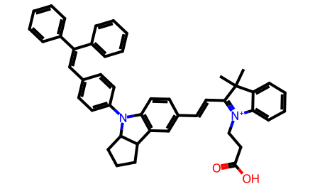 CC1(C)C(/C=C/c2ccc3c(c2)C2CCCC2N3c2ccc(C=C(c3ccccc3)c3ccccc3)cc2)=[N+](CCC(=O)O)c2ccccc21